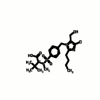 CCCCc1nc(Cl)c(CO)n1Cc1ccc(S(=O)(=O)N(C)[C@H](C(=O)O)C(C)(C)C)cc1